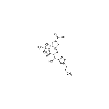 CCCn1cnc(C(O)C(O[C@H]2CCN(C(=O)O)C2)C(=O)OC(C)(C)C)c1